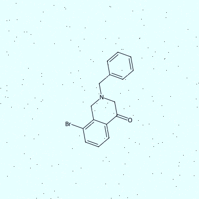 O=C1CN(Cc2ccccc2)Cc2c(Br)cccc21